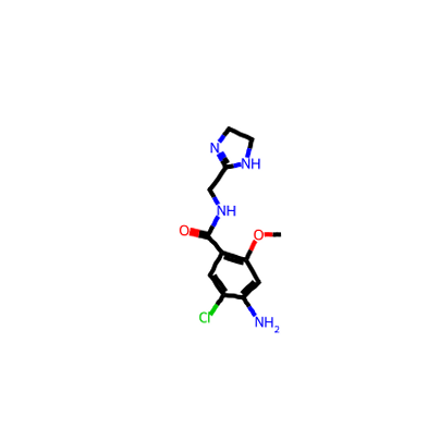 COc1cc(N)c(Cl)cc1C(=O)NCC1=NCCN1